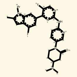 Cc1cc2c(F)cc(-c3nc(Nc4ccc(N5CCC(N(C)C)CC5=O)cn4)ncc3F)cc2n1C(C)C